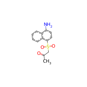 CC(=O)CS(=O)(=O)c1ccc(N)c2ccccc12